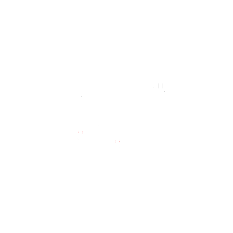 C=CCC1CCOC1O